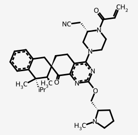 C=CC(=O)N1CCN(c2nc(OC[C@@H]3CCCN3C)nc3c2CC[C@@]2(Cc4ccccc4[C@@](C)(C(C)C)[C@@H]2C)C3=O)C[C@@H]1CC#N